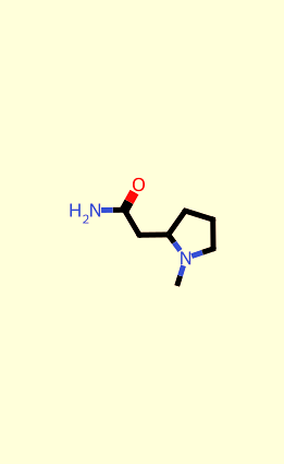 CN1CCCC1CC(N)=O